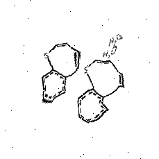 C1=CSc2ccccc2C=C1.C1=CSc2ccccc2C=C1.O.O